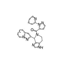 O=C(c1ccnn1-c1ccccn1)N1CCc2[nH]cnc2C1c1cc2ccccn2n1